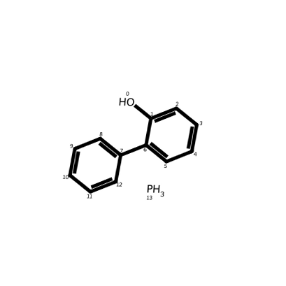 Oc1ccccc1-c1ccccc1.P